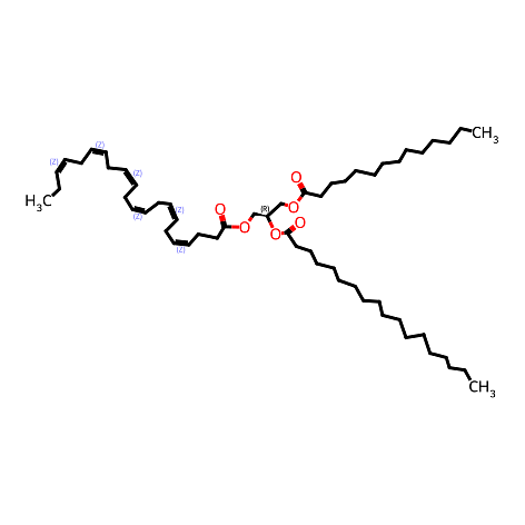 CC/C=C\C/C=C\C/C=C\C/C=C\C/C=C\C/C=C\CCC(=O)OC[C@@H](COC(=O)CCCCCCCCCCCCC)OC(=O)CCCCCCCCCCCCCCCCC